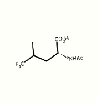 CC(=O)N[C@H](CC(C)C(F)(F)F)C(=O)O